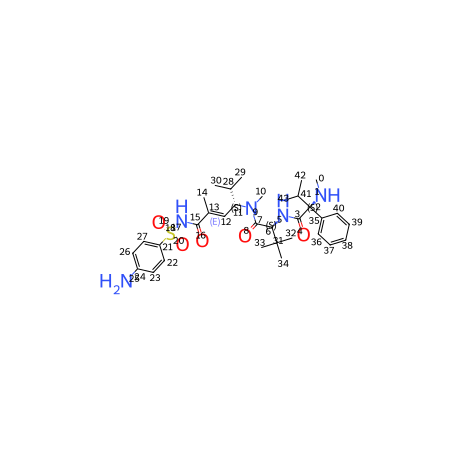 CN[C@](C(=O)N[C@H](C(=O)N(C)[C@H](/C=C(\C)C(=O)NS(=O)(=O)c1ccc(N)cc1)C(C)C)C(C)(C)C)(c1ccccc1)C(C)C